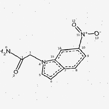 NC(=O)Cn1ccc2ccc([N+](=O)[O-])cc21